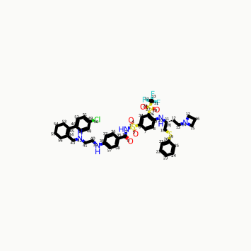 O=C(NS(=O)(=O)c1ccc(N[C@H](CCN2CCC2)CSc2ccccc2)c(S(=O)(=O)C(F)(F)F)c1)c1ccc(NCCNCC2=C(c3ccc(Cl)cc3)CCCC2)cc1